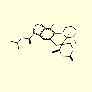 CC(C)NC(=O)c1noc2c(F)c3c(cc12)CC1(C(=O)NC(=O)NC1=O)[C@H]1[C@H](C)OCCN31